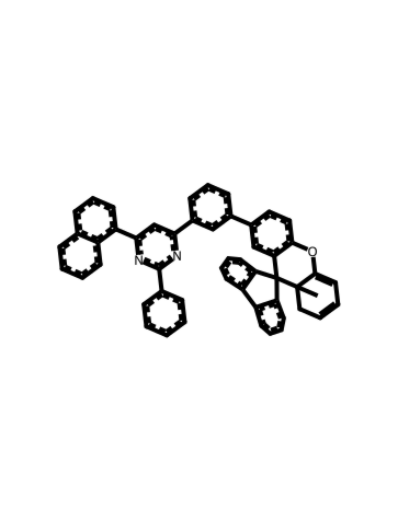 CC12CC=CC=C1Oc1ccc(-c3cccc(-c4cc(-c5cccc6ccccc56)nc(-c5ccccc5)n4)c3)cc1C21c2ccccc2-c2ccccc21